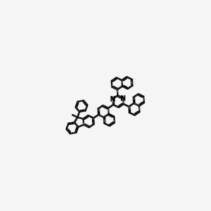 CC1(c2ccccc2)c2ccccc2-c2ccc(-c3ccc(-c4cc(-c5cccc6ccccc56)nc(-c5cccc6ccccc56)n4)c4ccccc34)cc21